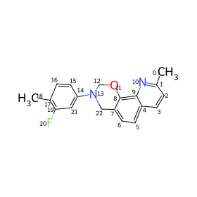 Cc1ccc2ccc3c(c2n1)OCN(c1ccc(C)c(F)c1)C3